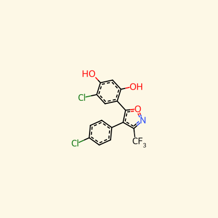 Oc1cc(O)c(-c2onc(C(F)(F)F)c2-c2ccc(Cl)cc2)cc1Cl